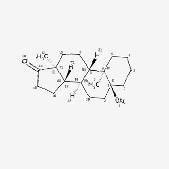 CC(=O)O[C@]12CCCC[C@]1(C)[C@H]1CC[C@]3(C)C(=O)CC[C@H]3[C@@H]1CC2